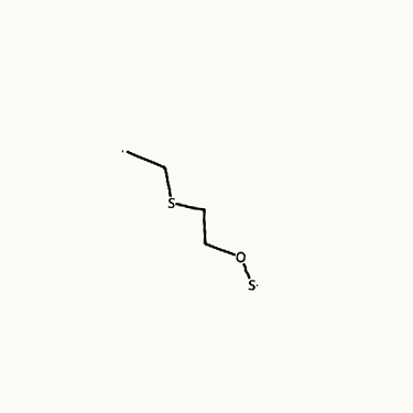 [CH2]CSCCO[S]